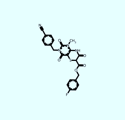 Cn1c2c(c(=O)n(Cc3ccc(C#N)cc3)c1=O)SC(C(=O)OCc1ccc(F)cc1)C(=O)N2